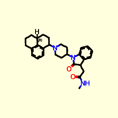 CNC(=O)CC1C(=O)N(C2CCN(C3CC[C@H]4CCCc5cccc3c54)CC2)c2ccccc21